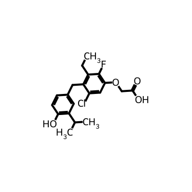 CCc1c(F)c(OCC(=O)O)cc(Cl)c1Cc1ccc(O)c(C(C)C)c1